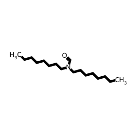 CCCCCCCCN(C=O)CCCCCCCC